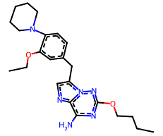 CCCCOc1nc(N)c2ncc(Cc3ccc(N4CCCCC4)c(OCC)c3)n2n1